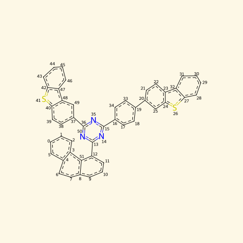 c1ccc2c(c1)ccc1cccc(-c3nc(-c4ccc(-c5ccc6c(c5)sc5ccccc56)cc4)nc(-c4ccc5sc6ccccc6c5c4)n3)c12